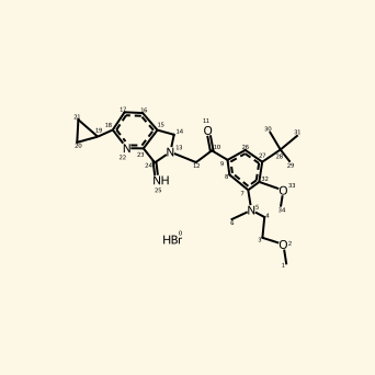 Br.COCCN(C)c1cc(C(=O)CN2Cc3ccc(C4CC4)nc3C2=N)cc(C(C)(C)C)c1OC